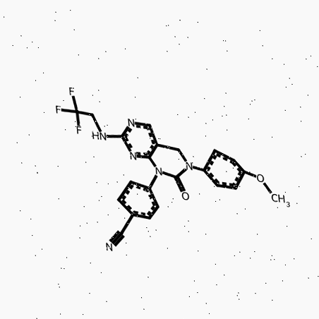 COc1ccc(N2Cc3cnc(NCC(F)(F)F)nc3N(c3ccc(C#N)cc3)C2=O)cc1